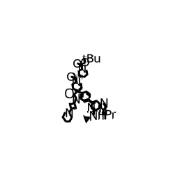 CC(C)n1cnc2cc(-c3ccc4c(c3)N(C3CC(N5CCCCC5)C3)C(=O)C43CCN(C(=O)[C@H]4CCCN(C(=O)OC(C)(C)C)C4)CC3)nc(NC3CC3)c21